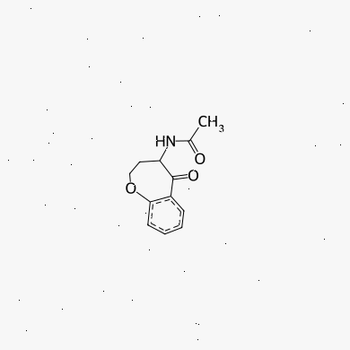 CC(=O)NC1CCOc2ccccc2C1=O